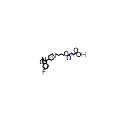 O=C(O)/C=C/C(=O)OCCCCN1CCC(c2noc3cc(F)ccc23)CC1